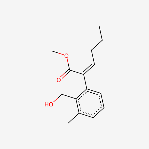 CCC/C=C(\C(=O)OC)c1cccc(C)c1CO